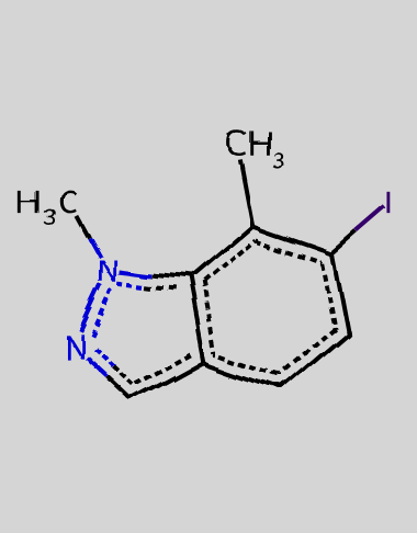 Cc1c(I)ccc2cnn(C)c12